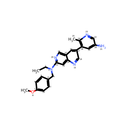 CCN(Cc1ccc(OC)cc1)c1cc2ncc(-c3cc(N)cnc3C)cc2cn1